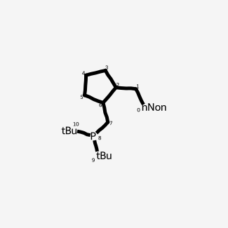 CCCCCCCCCCC1CCCC1CP(C(C)(C)C)C(C)(C)C